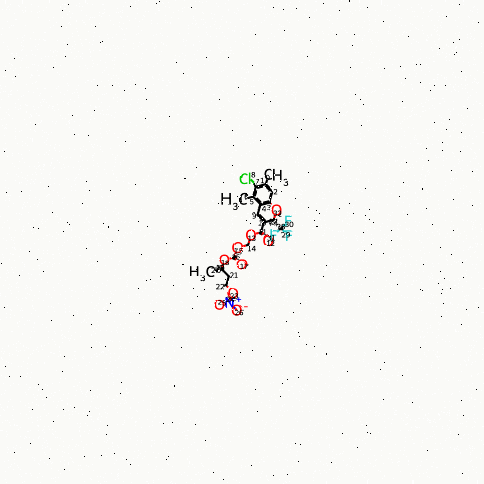 Cc1cc2c(c(C)c1Cl)C=C(C(=O)OCOC(=O)O[C@@H](C)CCO[N+](=O)[O-])[C@@H](C(F)(F)F)O2